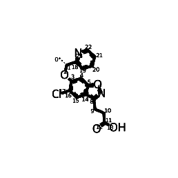 C[C@@H](Oc1cc2onc(CCC(=O)O)c2cc1Cl)c1ccccn1